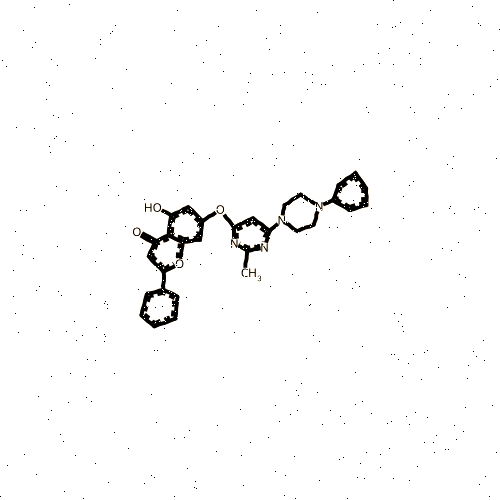 Cc1nc(Oc2cc(O)c3c(=O)cc(-c4ccccc4)oc3c2)cc(N2CCN(c3ccccc3)CC2)n1